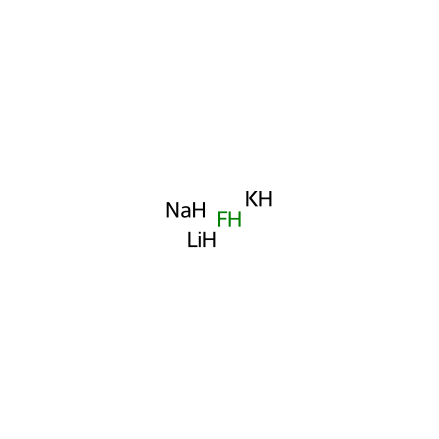 F.[KH].[LiH].[NaH]